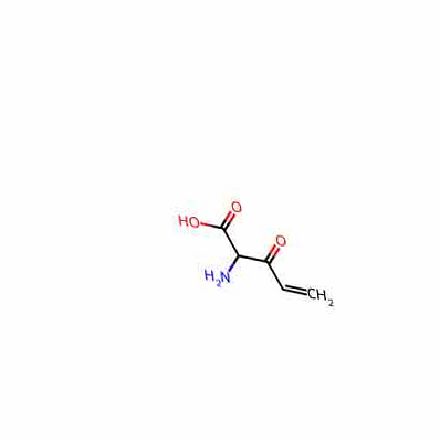 C=CC(=O)C(N)C(=O)O